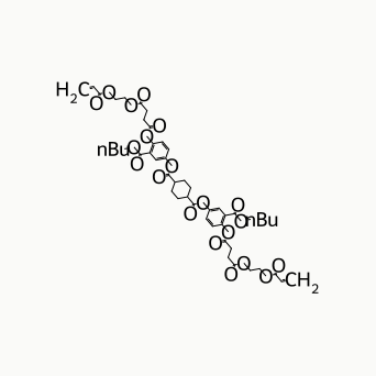 C=CC(=O)OCCOC(=O)CCC(=O)Oc1ccc(OC(=O)C2CCC(C(=O)Oc3ccc(OC(=O)CCC(=O)OCCOC(=O)C=C)c(C(=O)OCCCC)c3)CC2)cc1C(=O)OCCCC